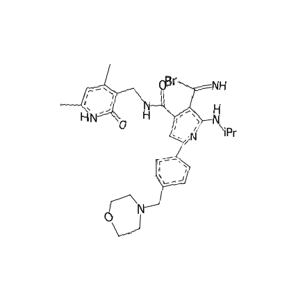 Cc1cc(C)c(CNC(=O)c2cc(-c3ccc(CN4CCOCC4)cc3)nc(NC(C)C)c2C(=N)Br)c(=O)[nH]1